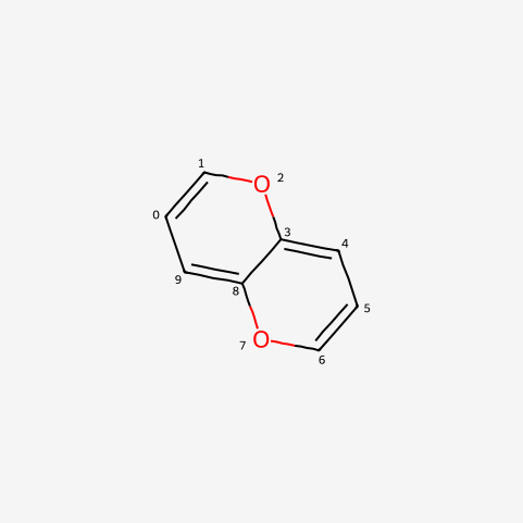 C1=COC2=CC=COC2=C1